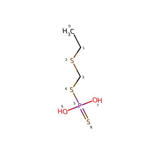 CCSCSP(O)(O)=S